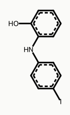 Oc1ccccc1Nc1ccc(I)cc1